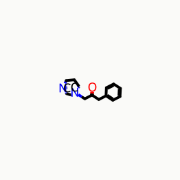 O=C(Cc1ccccc1)CN1CCN2CCC1CC2